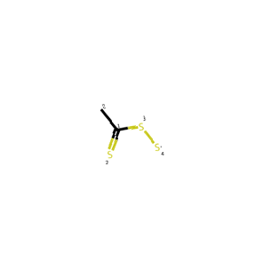 CC(=S)S[S]